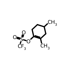 CC1=C(OS(=O)(=O)C(F)(F)F)CCC(C)C1